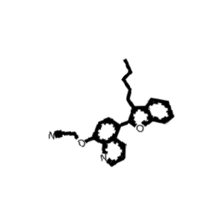 CCCCCc1c(-c2ccc(OCC#N)c3ncccc23)oc2ccccc12